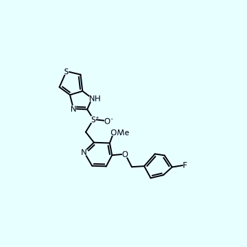 COc1c(OCc2ccc(F)cc2)ccnc1C[S+]([O-])c1nc2cscc2[nH]1